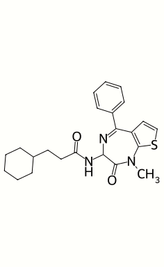 CN1C(=O)C(NC(=O)CCC2CCCCC2)N=C(c2ccccc2)c2ccsc21